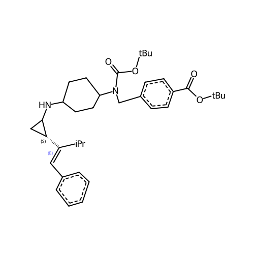 CC(C)/C(=C\c1ccccc1)[C@@H]1CC1NC1CCC(N(Cc2ccc(C(=O)OC(C)(C)C)cc2)C(=O)OC(C)(C)C)CC1